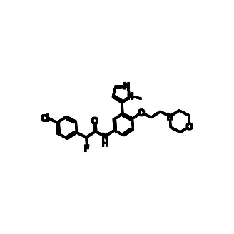 Cn1nccc1-c1cc(NC(=O)C(F)c2ccc(Cl)cc2)ccc1OCCN1CCOCC1